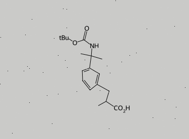 CC(Cc1cccc(C(C)(C)NC(=O)OC(C)(C)C)c1)C(=O)O